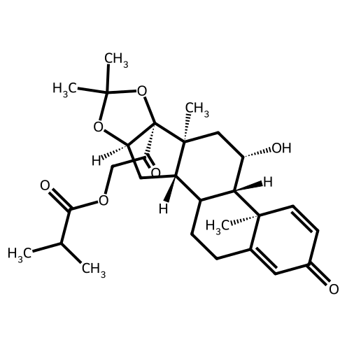 CC(C)C(=O)OCC(=O)[C@@]12OC(C)(C)O[C@@H]1C[C@H]1C3CCC4=CC(=O)C=C[C@]4(C)[C@H]3[C@@H](O)C[C@@]12C